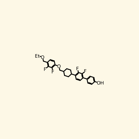 CCOCc1ccc(OCC2CCC(c3ccc(-c4ccc(O)cc4)c(F)c3F)CC2)c(F)c1F